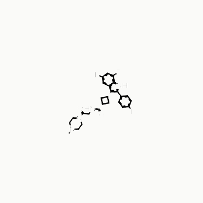 CN1CCN(C(=O)CNC(=O)[C@H]2C[C@H](c3c(-c4ccc(F)cc4)[nH]c4c(F)cc(F)cc43)C2)CC1